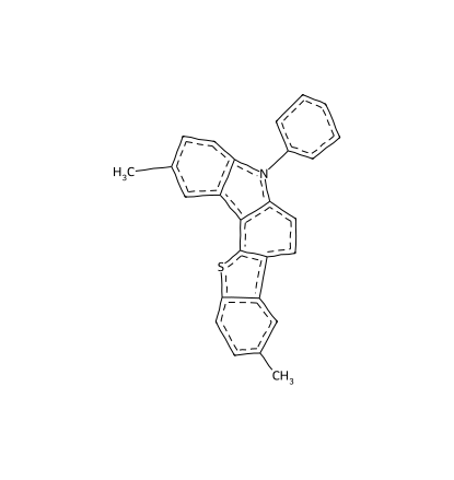 Cc1ccc2sc3c(ccc4c3c3cc(C)ccc3n4-c3ccccc3)c2c1